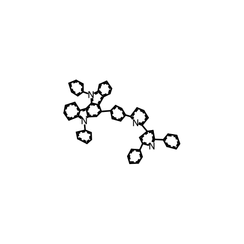 c1ccc(-c2cc(-c3cccc(-c4ccc(-c5cc6c(c7ccccc7n6-c6ccccc6)c6c5c5ccccc5n6-c5ccccc5)cc4)n3)cc(-c3ccccc3)n2)cc1